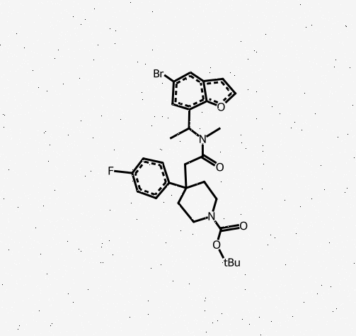 CC(c1cc(Br)cc2ccoc12)N(C)C(=O)CC1(c2ccc(F)cc2)CCN(C(=O)OC(C)(C)C)CC1